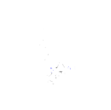 CCCCCCCCCCCCn1c2ccccc2c2cc(N)ccc21